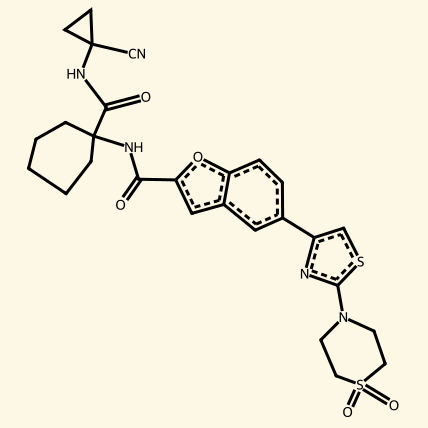 N#CC1(NC(=O)C2(NC(=O)c3cc4cc(-c5csc(N6CCS(=O)(=O)CC6)n5)ccc4o3)CCCCC2)CC1